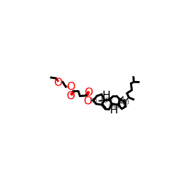 CCOCCOC(=O)CCC(=O)O[C@H]1CC[C@@]2(C)C(=CC[C@H]3[C@@H]4CC[C@H](C(C)CCCC(C)C)[C@@]4(C)CC[C@@H]32)C1